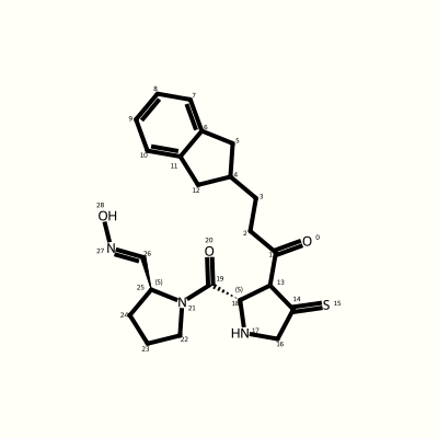 O=C(CCC1Cc2ccccc2C1)C1C(=S)CN[C@@H]1C(=O)N1CCC[C@H]1C=NO